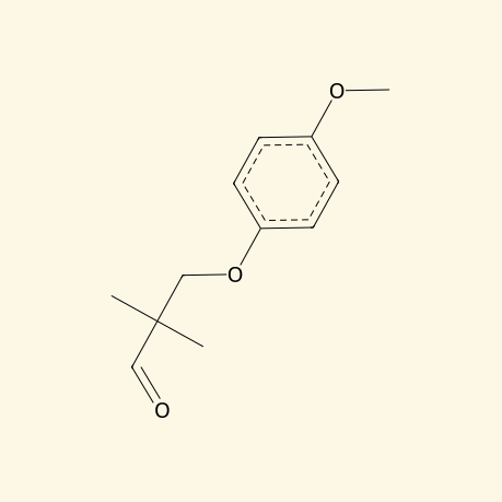 COc1ccc(OCC(C)(C)C=O)cc1